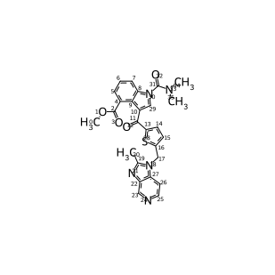 COC(=O)c1cccc2c1c(C(=O)c1ccc(Cn3c(C)nc4cnccc43)s1)cn2C(=O)N(C)C